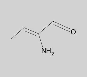 CC=C(N)C=O